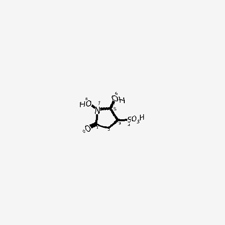 O=C1CC(S(=O)(=O)O)C(O)N1O